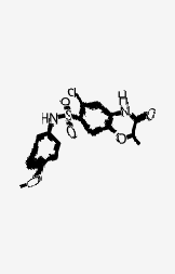 COc1ccc(NS(=O)(=O)c2cc3c(cc2Cl)NC(=O)C(C)O3)cc1